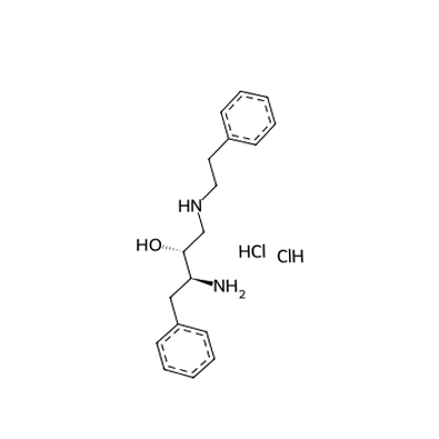 Cl.Cl.N[C@@H](Cc1ccccc1)[C@H](O)CNCCc1ccccc1